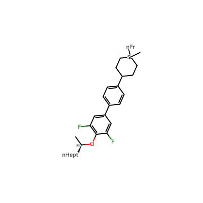 CCCCCCC[C@@H](C)Oc1c(F)cc(-c2ccc(C3CC[Si](C)(CCC)CC3)cc2)cc1F